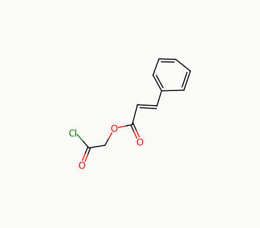 O=C(Cl)COC(=O)C=Cc1ccccc1